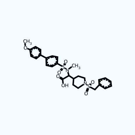 COc1ccc(-c2ccc(S(=O)(=O)N(C)C(C(=O)O)C3CCN(S(=O)(=O)Cc4ccccc4)CC3)cc2)cc1